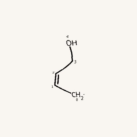 [CH2]/C=C\CO